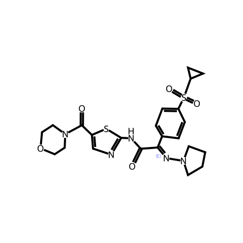 O=C(Nc1ncc(C(=O)N2CCOCC2)s1)/C(=N/N1CCCC1)c1ccc(S(=O)(=O)C2CC2)cc1